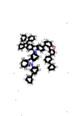 c1ccc(-c2cccc(-c3ccc4oc5cccc(-c6ccc7c(c6)c6cc([Si](c8ccccc8)(c8ccccc8)c8ccccc8)ccc6n7-c6ccc7c(c6)c6ccccc6n7-c6cccc(-c7ccccc7)c6)c5c4c3)c2)cc1